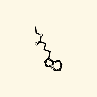 CCOC(=O)CCCc1ccn2ccccc12